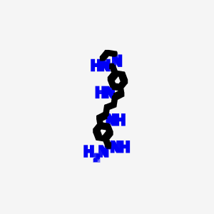 N=C(N)c1ccc2cc(CCc3cc4ccc(C5=NCCCN5)cc4[nH]3)[nH]c2c1